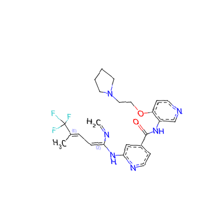 C=N/C(=C\C=C(/C)C(F)(F)F)Nc1cc(C(=O)Nc2cnccc2OCCN2CCCC2)ccn1